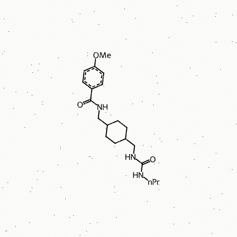 CCCNC(=O)NCC1CCC(CNC(=O)c2ccc(OC)cc2)CC1